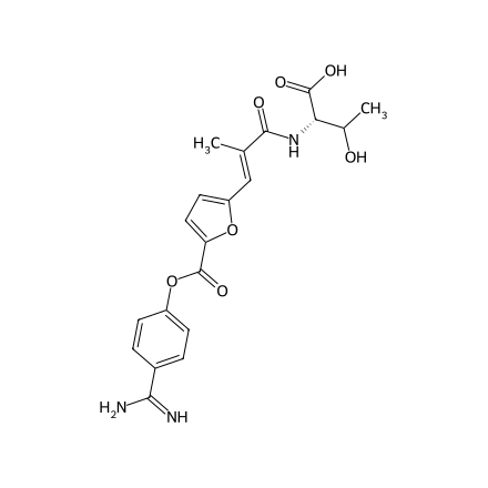 C/C(=C\c1ccc(C(=O)Oc2ccc(C(=N)N)cc2)o1)C(=O)N[C@H](C(=O)O)C(C)O